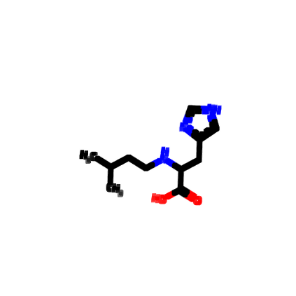 CC(C)CCNC(Cc1c[nH]cn1)C(=O)O